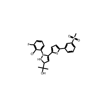 CC(C)(O)C1C=C(c2ccc(-c3cccc(S(C)(=O)=O)c3)s2)N(c2cccc(F)c2Cl)N1